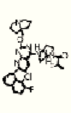 C=C(F)C(=O)N1CC[C@@H]2[C@H]1CN2c1nc(OCC23CCCN2CCC3)nc2nc(-c3cccc4ccc(F)c(Cl)c34)ccc12